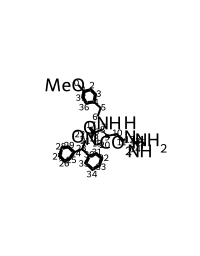 COc1ccc(CCN[C@@H](CCCNC(=N)N)C(=O)N(CC(=O)O)C(=O)C(c2ccccc2)c2ccccc2)cc1